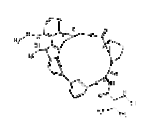 CCn1c(-c2cnccc2[C@H](C)OC)c2c3cc(ccc31)-c1cccc(c1)C[C@H](NC(=O)C(NC)C(C)C)C(=O)N1CCC[C@H](N1)C(=O)OCC(C)(C)C2